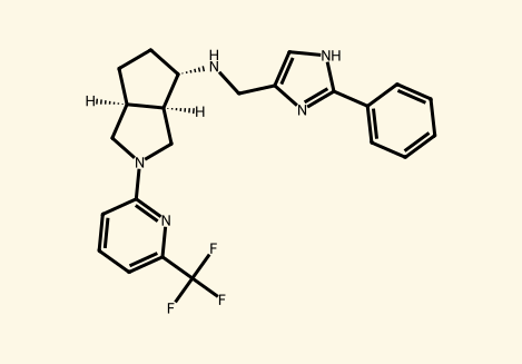 FC(F)(F)c1cccc(N2C[C@H]3CC[C@H](NCc4c[nH]c(-c5ccccc5)n4)[C@H]3C2)n1